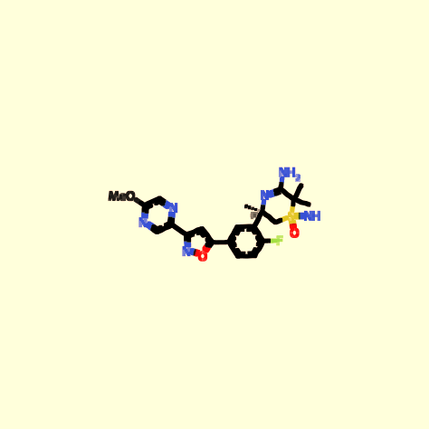 COc1cnc(-c2cc(-c3ccc(F)c([C@]4(C)CS(=N)(=O)C(C)(C)C(N)=N4)c3)on2)cn1